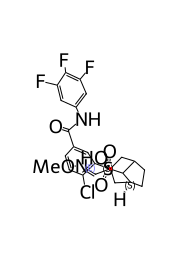 CO/N=C/[C@]1(O)CC2CC[C@@H](C1)C2S(=O)(=O)c1cc(C(=O)Nc2cc(F)c(F)c(F)c2)ccc1Cl